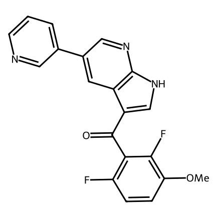 COc1ccc(F)c(C(=O)c2c[nH]c3ncc(-c4cccnc4)cc23)c1F